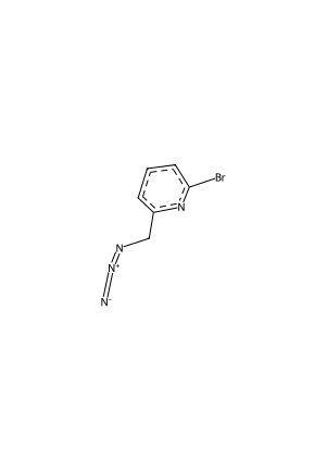 [N-]=[N+]=NCc1cccc(Br)n1